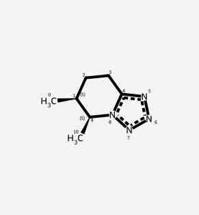 C[C@H]1CCc2nnnn2[C@H]1C